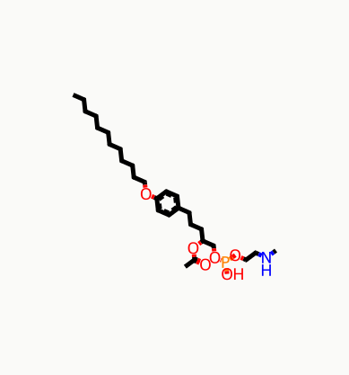 CCCCCCCCCCCCOc1ccc(CCCC(COP(O)OCCNC)OC(C)=O)cc1